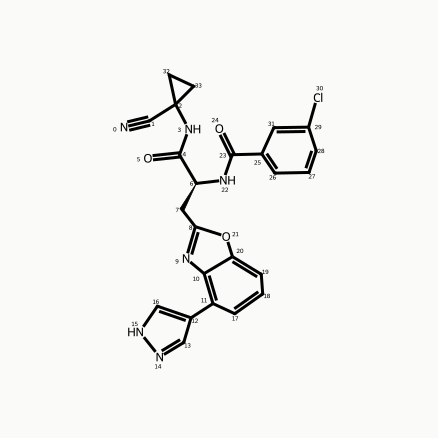 N#CC1(NC(=O)[C@H](Cc2nc3c(-c4cn[nH]c4)cccc3o2)NC(=O)c2cccc(Cl)c2)CC1